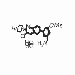 COc1cc(CN)cc(-c2ccc3nc(N4CCNCC4)c(Cl)cc3c2)c1.Cl.Cl